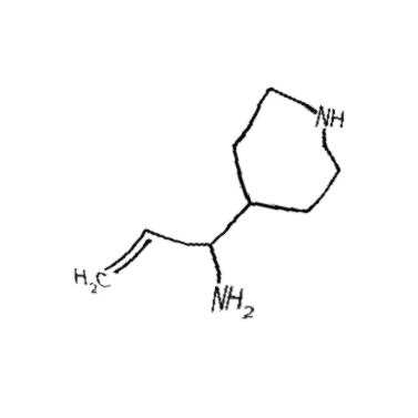 C=CC(N)C1CCNCC1